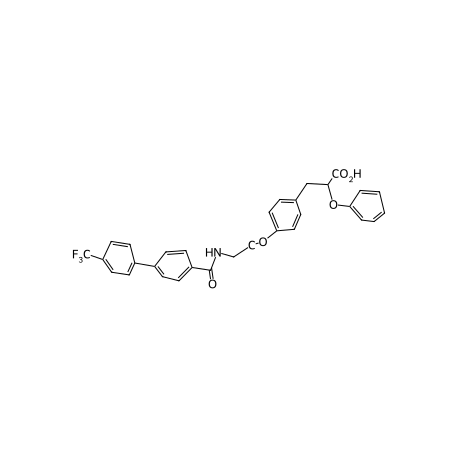 O=C(NCCOc1ccc(CC(Oc2ccccc2)C(=O)O)cc1)c1ccc(-c2ccc(C(F)(F)F)cc2)cc1